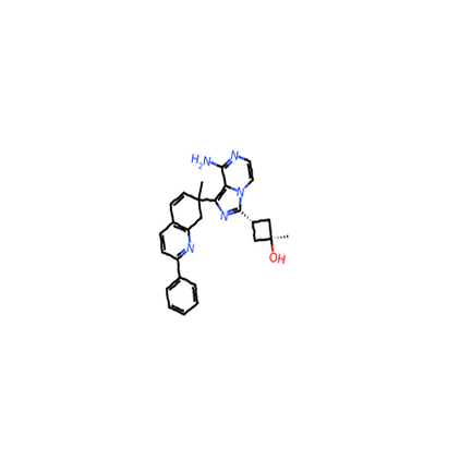 CC1(c2nc([C@H]3C[C@](C)(O)C3)n3ccnc(N)c23)C=Cc2ccc(-c3ccccc3)nc2C1